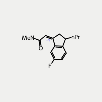 CCCC1C/C(=C/C(=O)NC)c2cc(F)ccc21